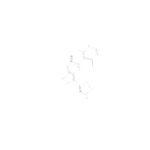 Cc1cccc(F)c1-n1nc2c(-c3cnn(C)c3)n[nH]c2cc1=O